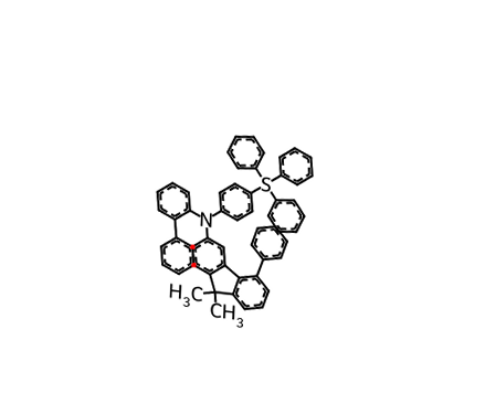 CC1(C)c2ccc(N(c3ccc(S(c4ccccc4)(c4ccccc4)c4ccccc4)cc3)c3ccccc3-c3ccccc3)cc2-c2c(-c3ccccc3)cccc21